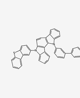 c1ccc(-c2cccc(-n3c4ccccc4c4ccc5c(c6ccccc6n5-c5ccc6sc7ccccc7c6c5)c43)c2)cc1